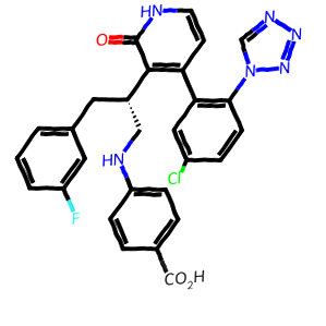 O=C(O)c1ccc(NC[C@H](Cc2cccc(F)c2)c2c(-c3cc(Cl)ccc3-n3cnnn3)cc[nH]c2=O)cc1